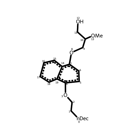 CCCCCCCCCCCCOc1ccc(OCC(CO)OC)c2ccccc12